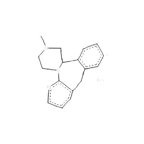 CN1CCN2c3ncccc3Cc3ccccc3C2C1.O